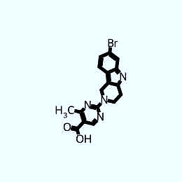 Cc1nc(N2CCC3N=c4cc(Br)ccc4=C3C2)ncc1C(=O)O